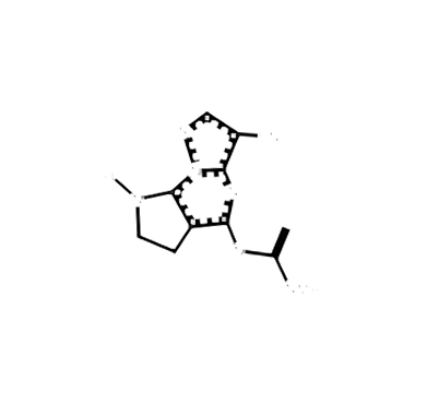 CCC(C)N1CCc2c(NC(=O)NC)nc3c(C#N)cnn3c21